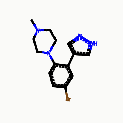 CN1CCN(c2ccc(Br)cc2-c2cn[nH]c2)CC1